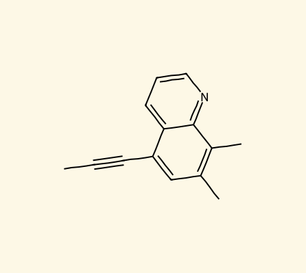 CC#Cc1cc(C)c(C)c2ncccc12